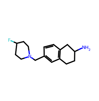 NC1CCc2cc(CN3CCC(F)CC3)ccc2C1